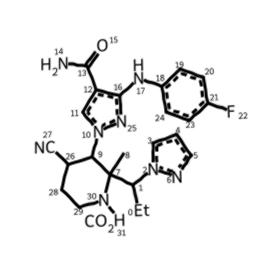 CCC(n1cccn1)C1(C)C(n2cc(C(N)=O)c(Nc3ccc(F)cc3)n2)C(C#N)CCN1C(=O)O